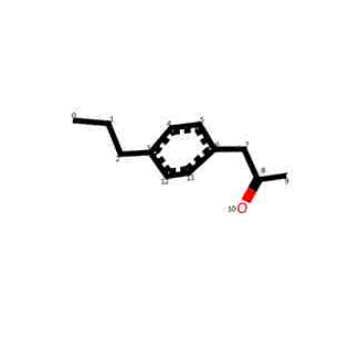 CCCc1ccc(CC(C)=O)cc1